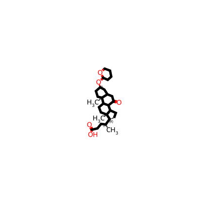 C[C@H](CCC(=O)O)[C@H]1CCC2C3C(=O)CC4C[C@H](OC5CCCCO5)CC[C@]4(C)C3CC[C@@]21C